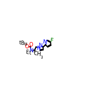 CCN(C(=O)OC(C)(C)C)[C@@H](C)Cn1ccc(-c2ccc(F)cn2)n1